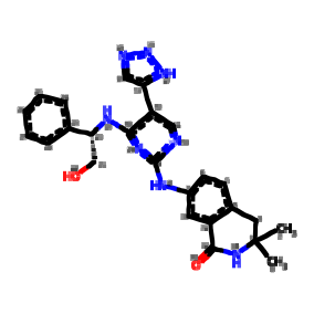 CC1(C)Cc2ccc(Nc3ncc(-c4cnn[nH]4)c(N[C@H](CO)c4ccccc4)n3)cc2C(=O)N1